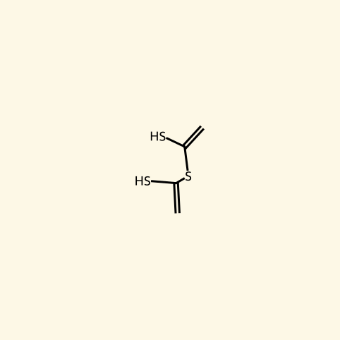 C=C(S)SC(=C)S